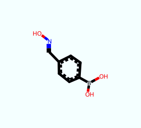 ON=Cc1ccc(B(O)O)cc1